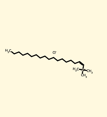 CCCCCCCCCCCCCCCC/C=C\[N+](C)(C)C.[Cl-]